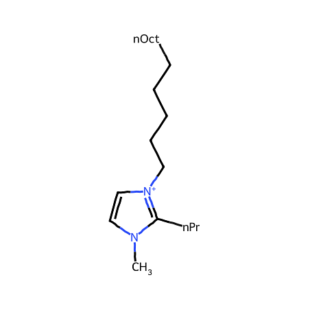 CCCCCCCCCCCCC[n+]1ccn(C)c1CCC